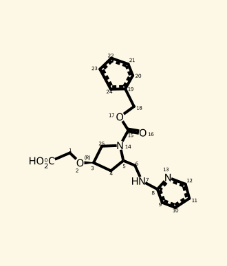 O=C(O)CO[C@@H]1CC(CNc2ccccn2)N(C(=O)OCc2ccccc2)C1